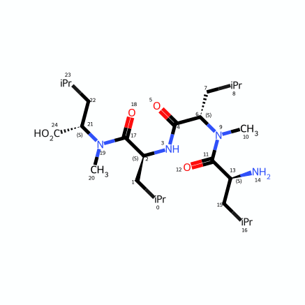 CC(C)C[C@H](NC(=O)[C@H](CC(C)C)N(C)C(=O)[C@@H](N)CC(C)C)C(=O)N(C)[C@@H](CC(C)C)C(=O)O